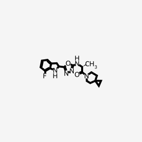 C[C@@H](Nc1nnc(C2Cc3cccc(F)c3N2)o1)C(=O)N1CCC2(CC1)CC2